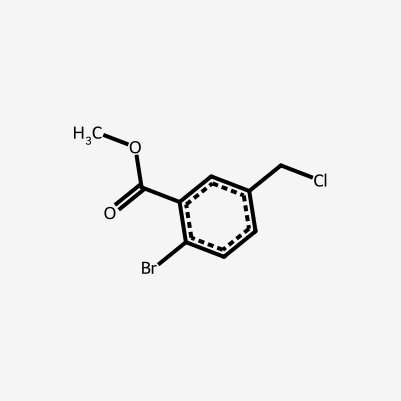 COC(=O)c1cc(CCl)ccc1Br